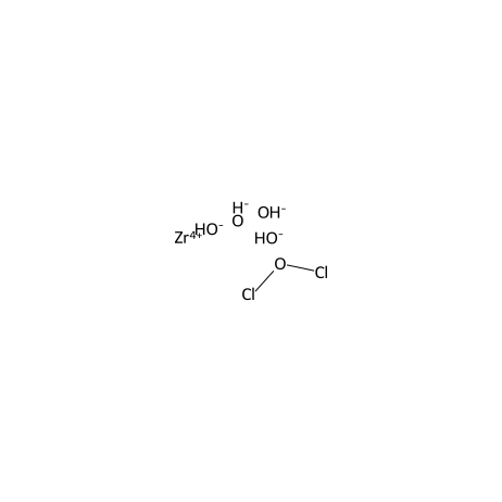 ClOCl.[OH-].[OH-].[OH-].[OH-].[Zr+4]